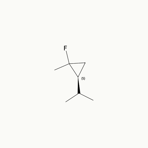 CC(C)[C@@H]1CC1(C)F